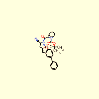 CC(C)(C)OC(=O)N1C2CCC(C2)C1C(=O)NC(C#N)Cc1cc2cc(-c3ccccc3)ccc2o1